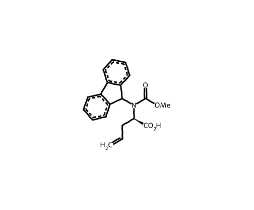 C=CC[C@H](C(=O)O)N(C(=O)OC)C1c2ccccc2-c2ccccc21